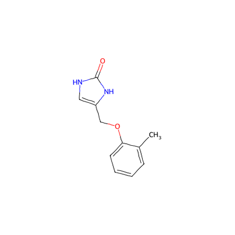 Cc1ccccc1OCc1c[nH]c(=O)[nH]1